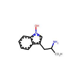 NC(Cc1cn(O)c2ccccc12)C(=O)O